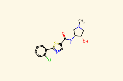 CN1C[C@H](NC(=O)c2cnc(-c3ccccc3Cl)s2)[C@@H](O)C1